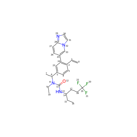 C=Cc1ccc(C(C)N(CC)C(=O)NC(CC)CCC(F)(F)F)cc1-c1ccc2nccn2c1